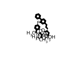 C[C@@H](NC(=O)[C@@H](NC(=O)[C@H](CCCc1ccc(-c2ccccc2)c(F)c1)CC(=O)O)C(C)(C)C)c1ccccc1